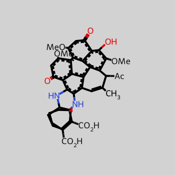 COc1c(O)c2c(=O)cc(OC)c3c4c(OC)cc(=O)c5c(NC6CCCC(C(=O)O)C6)c(NC6CCCC(C(=O)O)C6)c6c(c(c1C(C(C)=O)C(C)=C6)c23)c54